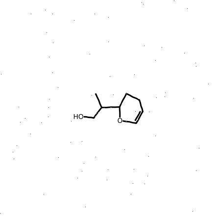 CC(CO)C1CCC=CO1